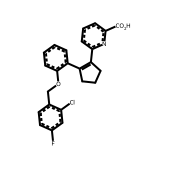 O=C(O)c1cccc(C2=C(c3ccccc3OCc3ccc(F)cc3Cl)CCC2)n1